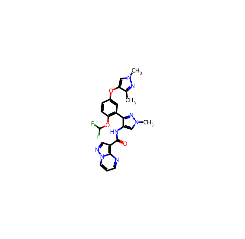 Cc1nn(C)cc1Oc1ccc(OC(F)F)c(-c2nn(C)cc2NC(=O)c2cnn3cccnc23)c1